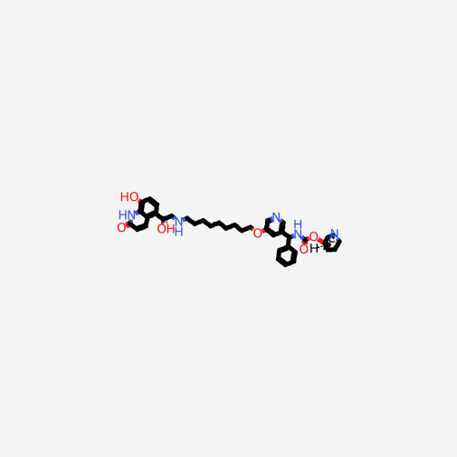 O=C(NC(c1ccccc1)c1cncc(OCCCCCCCCCNC[C@@H](O)c2ccc(O)c3[nH]c(=O)ccc23)c1)O[C@H]1CN2CCC1CC2